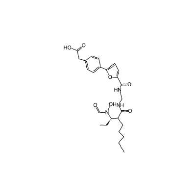 CCCCCC(C(=O)NCNC(=O)c1ccc(-c2ccc(CC(=O)O)cc2)o1)[C@@H](CC)N(O)C=O